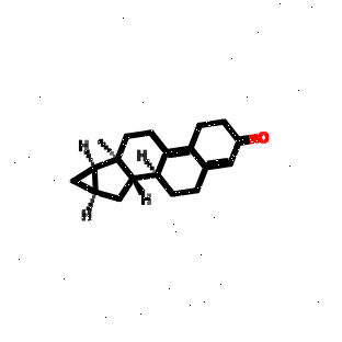 C[C@]12CCC3=C4CCC(=O)C=C4CC[C@H]3[C@@H]1C[C@H]1C[C@H]12